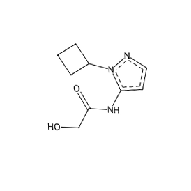 O=C(CO)Nc1ccnn1C1CCC1